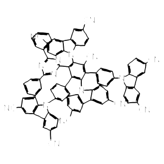 N#Cc1ccc2c(c1)c1cc(C#N)ccc1n2-c1ccc(-c2c(C#N)c(-n3c4ccc(C#N)cc4c4cc(C#N)ccc43)c(-c3nc(-c4ccccc4)nc(-c4ccccc4)n3)c(-c3ccc(-n4c5ccc(C#N)cc5c5cc(C#N)ccc54)cc3)c2-n2c3ccc(C#N)cc3c3cc(C#N)ccc32)cc1